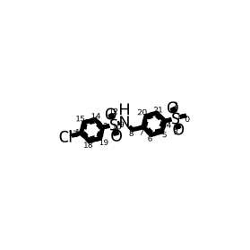 CS(=O)(=O)c1ccc(CNS(=O)(=O)c2ccc(Cl)cc2)cc1